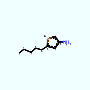 CCCCCc1cc(N)cs1